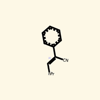 CCC/C=C(\C#N)c1ccccc1